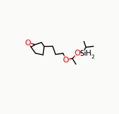 CC(OCCCC1CCC2OC2C1)O[SiH2]C(C)C